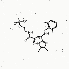 Cc1cccc(C)c1CNc1cc(C(=O)NCCOS(C)(=O)=O)cn2c(C)c(C)nc12